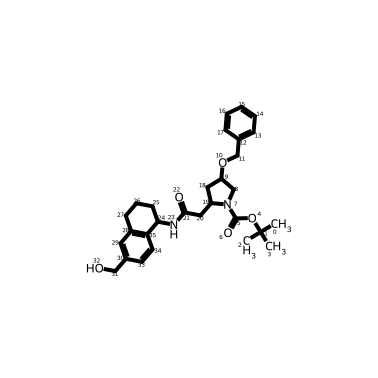 CC(C)(C)OC(=O)N1CC(OCc2ccccc2)CC1CC(=O)NC1CCCc2cc(CO)ccc21